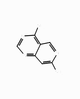 Nc1cc2ncnc(N)c2cn1